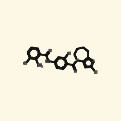 Cc1c(Cl)cccc1C(=O)Nc1ccc(C(=O)N2CCCCc3sc(Cl)cc32)c(Cl)c1